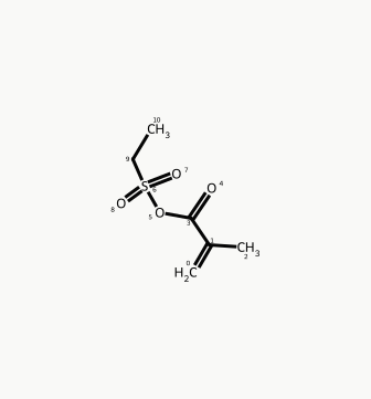 C=C(C)C(=O)OS(=O)(=O)CC